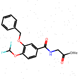 COC(=O)CNC(=O)c1ccc(OC(F)F)c(OCc2ccccc2)c1